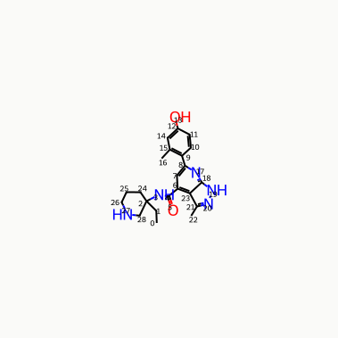 CCC1(NC(=O)c2cc(-c3ccc(O)cc3C)nc3[nH]nc(C)c23)CCCNC1